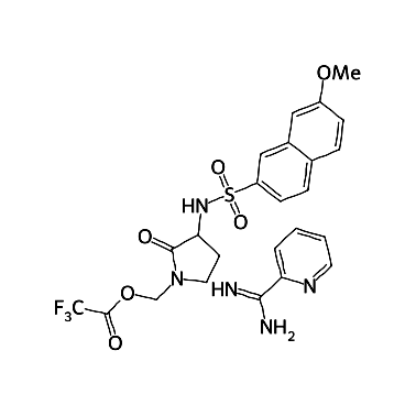 COc1ccc2ccc(S(=O)(=O)NC3CCN(COC(=O)C(F)(F)F)C3=O)cc2c1.N=C(N)c1ccccn1